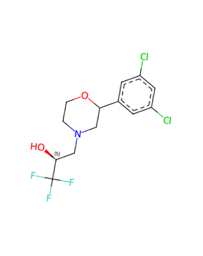 O[C@@H](CN1CCOC(c2cc(Cl)cc(Cl)c2)C1)C(F)(F)F